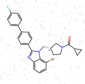 O=C(C1CC1)N1CC[C@H](Cn2c(-c3ccc(-c4ccc(F)cc4)cc3)nc3cccc(Br)c32)C1